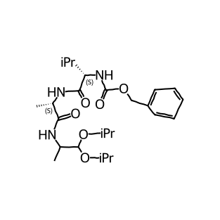 CC(C)OC(OC(C)C)C(C)NC(=O)[C@H](C)NC(=O)[C@@H](NC(=O)OCc1ccccc1)C(C)C